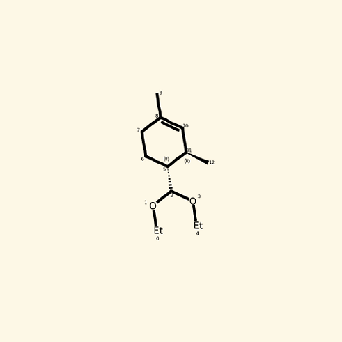 CCOC(OCC)[C@@H]1CCC(C)=C[C@H]1C